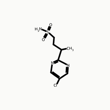 CC(CCS(N)(=O)=O)c1ncc(Cl)cn1